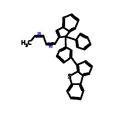 C/C=C\C=C/C1=Cc2ccccc2C1(c1ccccc1)c1cccc(-c2cccc3c2sc2ccccc23)c1